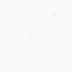 COC1CCN(C(=O)N2Cc3ccc(C(=O)NO)cc3OCC2c2ccccc2)CC1